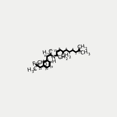 C=C(C)CCCCC(=C)/C=C\C(=C)NC(=C)Cc1cccc(CC(C)(C)F)c1